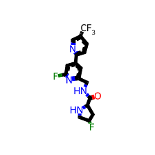 O=C(NCc1cc(-c2ccc(C(F)(F)F)cn2)cc(F)n1)C1CC(F)CN1